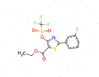 CCOC(=O)c1sc(-c2cccc(F)c2)nc1OS(=O)(=O)C(F)(F)F